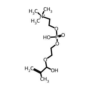 C=C(C)C(O)OCCOP(=O)(O)OCC[N+](C)(C)C